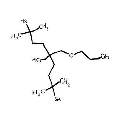 CC(C)(S)CCC(O)(CCC(C)(C)S)COCCO